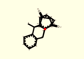 CC12c3ccccc3C(c3ccccc31)C1C(=O)CC(=O)C12